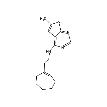 Cc1cc2c(NCCC3=CCCCCC3)ncnc2s1